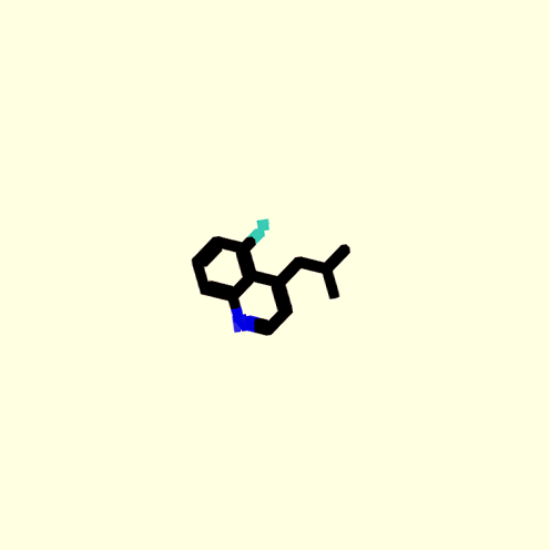 CC(C)Cc1ccnc2cccc(F)c12